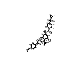 N#Cc1ccc(-c2nc(C3(c4c(Cl)cc(NC(=O)N5CCN(S(=O)(=O)C6CC6)CC5)cc4Cl)CC3)no2)cc1